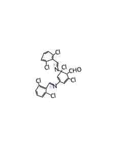 O=CC1C(Cl)=CC(/N=C/c2c(Cl)cccc2Cl)=CC1(Cl)/N=C/c1c(Cl)cccc1Cl